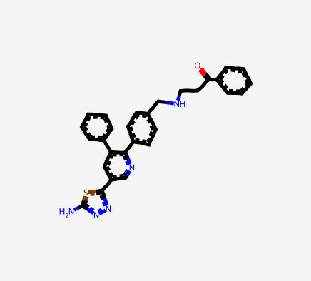 Nc1nnc(-c2cnc(-c3ccc(CNCCC(=O)c4ccccc4)cc3)c(-c3ccccc3)c2)s1